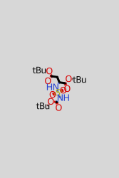 CC(C)(C)OC(=O)CC(NS(=O)(=O)NC(=O)OC(C)(C)C)C(=O)OC(C)(C)C